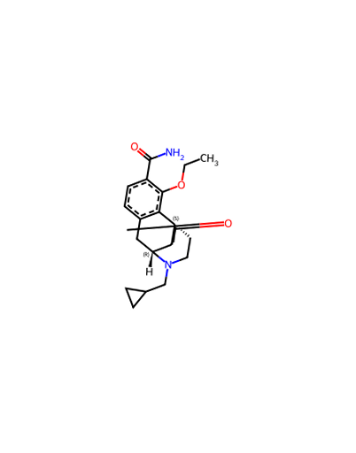 CCOc1c(C(N)=O)ccc2c1[C@]13CCN(CC4CC4)[C@H](C2)C1CCC(=O)C3